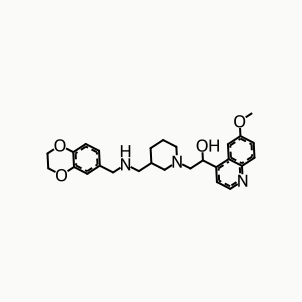 COc1ccc2nccc(C(O)CN3CCCC(CNCc4ccc5c(c4)OCCO5)C3)c2c1